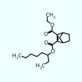 CCCCCC(CC)OC(=O)C1=C(C(=O)OCC)C2CCC1C2